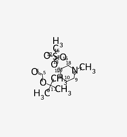 CC(C)(C)OC=O.CN1CCC[C@H](OS(C)(=O)=O)C1